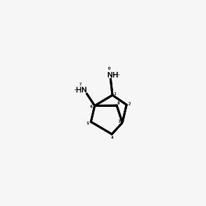 [NH]C1CC2CCC1([NH])C2